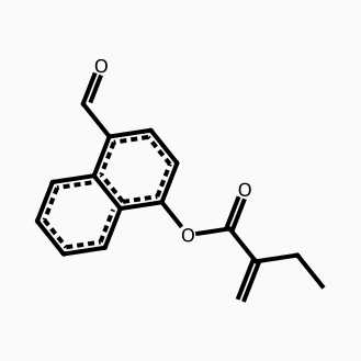 C=C(CC)C(=O)Oc1ccc(C=O)c2ccccc12